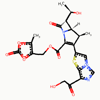 Cc1oc(=O)oc1COC(=O)C1=C(c2cn3cnc(C(=O)CO)c3s2)[C@H](C)[C@@H]2[C@@H]([C@@H](C)O)C(=O)N12